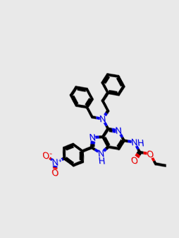 CCOC(=O)Nc1cc2[nH]c(-c3ccc([N+](=O)[O-])cc3)nc2c(N(CCc2ccccc2)Cc2ccccc2)n1